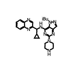 CC[C@H](C)n1ncc2nc(N3CCNCC3)nc(NC(c3cnc4ccccc4n3)C3CC3)c21